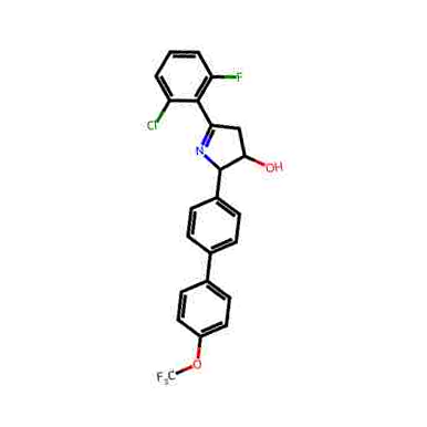 OC1CC(c2c(F)cccc2Cl)=NC1c1ccc(-c2ccc(OC(F)(F)F)cc2)cc1